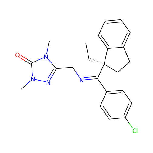 CC[C@@]1(/C(=N\Cc2nn(C)c(=O)n2C)c2ccc(Cl)cc2)CCc2ccccc21